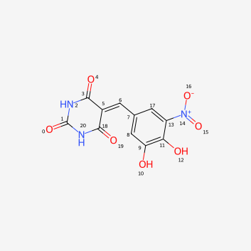 O=C1NC(=O)C(=Cc2cc(O)c(O)c([N+](=O)[O-])c2)C(=O)N1